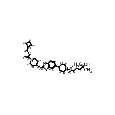 CC(C)(O)CCCS(=O)(=O)N1CCC(c2ccc3nc(OC4CCN(C(=O)OCC5CCC5)CC4)sc3c2)CC1